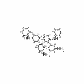 Nc1cccc(-c2c(Nc3ccccc3)ccc(-c3ccc(Nc4ccccc4)cc3)c2-c2cccc(N)c2)c1